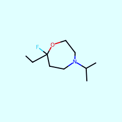 CCC1(F)CCN(C(C)C)CCO1